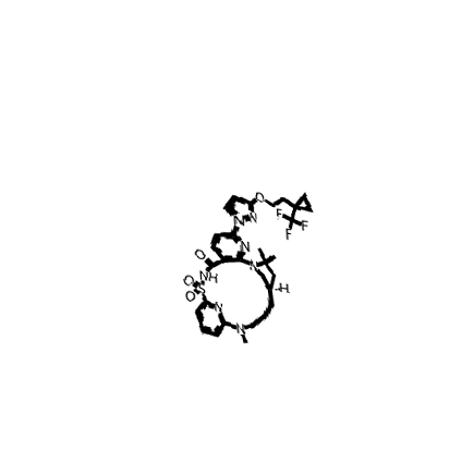 CN1CCC[C@H]2CN(c3nc(-n4ccc(OCCC5(C(F)(F)F)CC5)n4)ccc3C(=O)NS(=O)(=O)c3cccc1n3)C(C)(C)C2